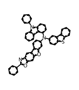 c1ccc(-c2nc3cc4c(cc3o2)oc2cc(N(c3ccc5sc6ccccc6c5c3)c3cccc5c3c3ccccc3n5-c3ccccc3)ccc24)cc1